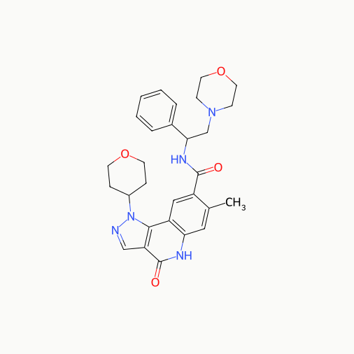 Cc1cc2[nH]c(=O)c3cnn(C4CCOCC4)c3c2cc1C(=O)NC(CN1CCOCC1)c1ccccc1